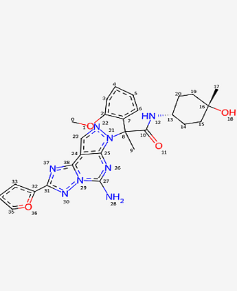 COc1ccccc1C(C)(C(=O)N[C@H]1CC[C@@](C)(O)CC1)n1ncc2c1nc(N)n1nc(-c3ccco3)nc21